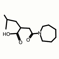 CC(C)CC(CC(=O)N1CCCCCC1)C(=O)O